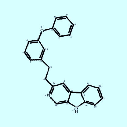 c1ccc(Oc2cccc(CCc3cc4c(cn3)[nH]c3ccccc34)c2)cc1